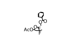 CC(=O)OC1CC(C)(F)[C@@H](COC(=O)c2ccccc2)O1